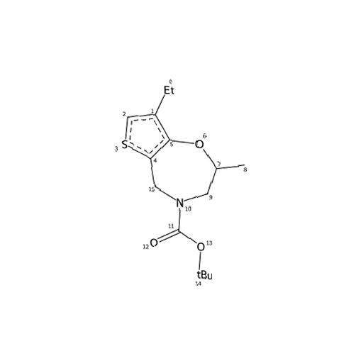 CCc1csc2c1OC(C)CN(C(=O)OC(C)(C)C)C2